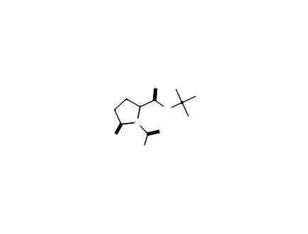 CC(C)(C)OC(=O)C1CCC(=O)N1C(=O)O